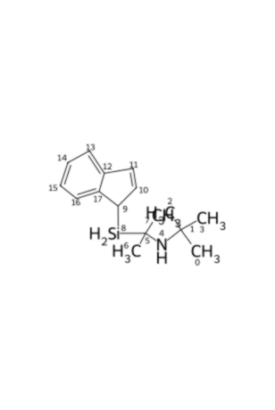 CC(C)(C)NC(C)(C)[SiH2]C1C=Cc2ccccc21